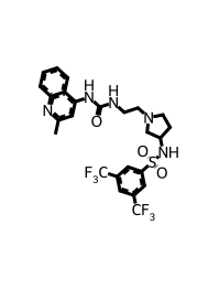 Cc1cc(NC(=O)NCCN2CCC(NS(=O)(=O)c3cc(C(F)(F)F)cc(C(F)(F)F)c3)C2)c2ccccc2n1